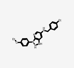 CCOc1ccc(N2NNc3cc(NCc4ccc(CC)cc4)cnc32)cc1